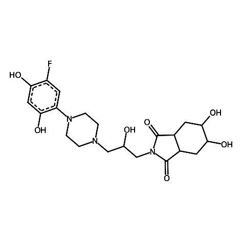 O=C1C2CC(O)C(O)CC2C(=O)N1CC(O)CN1CCN(c2cc(F)c(O)cc2O)CC1